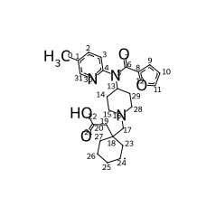 Cc1ccc(N(C(=O)c2ccco2)C2CCN(CC3(CC(=O)O)C[CH]CCC3)CC2)nc1